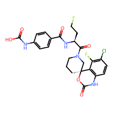 O=C(O)Nc1ccc(C(=O)N[C@@H](CCF)C(=O)N2CCC[C@@]3(C2)OC(=O)Nc2ccc(Cl)c(F)c23)cc1